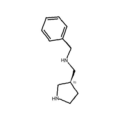 c1ccc(CNC[C@H]2CCNC2)cc1